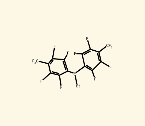 CCP(c1c(F)c(F)c(C(F)(F)F)c(F)c1F)c1c(F)c(F)c(C(F)(F)F)c(F)c1F